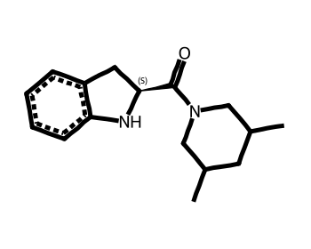 CC1CC(C)CN(C(=O)[C@@H]2Cc3ccccc3N2)C1